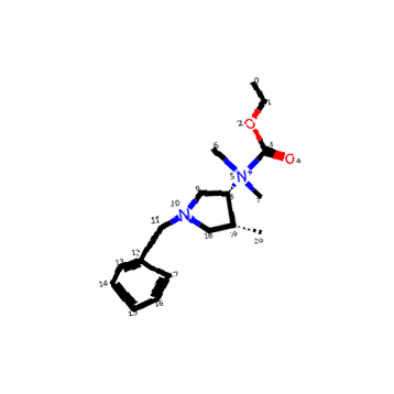 CCOC(=O)[N+](C)(C)[C@H]1CN(Cc2ccccc2)C[C@H]1C